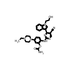 CCN1CCN(c2ccc(Nc3ncc(C#N)c(-c4cn(CCO)c5ccccc45)n3)c(OC(N)=O)c2)CC1